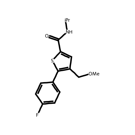 COCc1cc(C(=O)NC(C)C)sc1-c1ccc(F)cc1